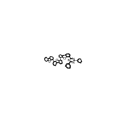 c1ccc(-c2nc(-c3ccccc3)nc(-c3cccc4c3oc3c(-c5cccc6c5oc5c(-c7cccc8c7oc7ccccc78)cccc56)cccc34)n2)cc1